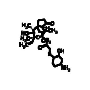 C=C[C@]1(C)C[C@@H](OC(=O)CSC2CCC(N)CC2O)[C@]2(C)[C@H](C)CC[C@]3(CCC(=O)[C@H]32)[C@@H](C)[C@@H]1O